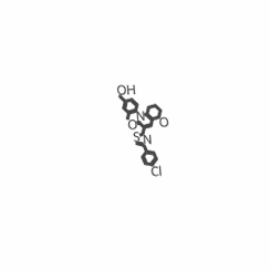 Cc1cc(CO)ccc1-n1c2c(cc(-c3nc(-c4ccc(Cl)cc4)cs3)c1=O)C(=O)CCC2